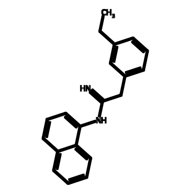 CCc1cccc(CC(=N)Nc2cccc3ccccc23)c1